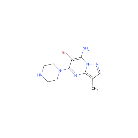 Cc1cnn2c(N)c(Br)c(N3CCNCC3)nc12